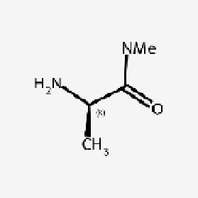 [CH2-][NH2+]C(=O)[C@@H](C)N